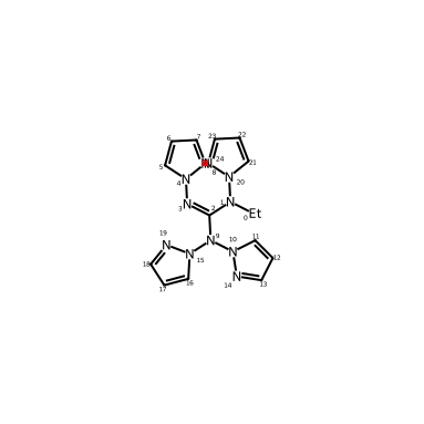 CCN(C(=Nn1cccn1)N(n1cccn1)n1cccn1)n1cccn1